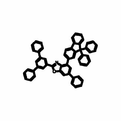 c1ccc(-c2cc(-c3ccccc3)cc(-c3nc4c(-c5ccc6c(c5)C(c5ccccc5)(c5ccccc5)c5ccccc5-6)cc(-c5ccccc5)cc4o3)c2)cc1